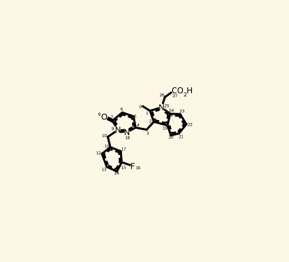 Cc1c(Cc2ccc(=O)n(Cc3cccc(F)c3)n2)c2ccccc2n1CC(=O)O